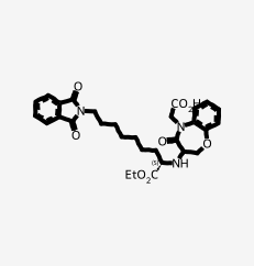 CCOC(=O)[C@H](CCCCCCCN1C(=O)c2ccccc2C1=O)NC1COc2ccccc2N(CC(=O)O)C1=O